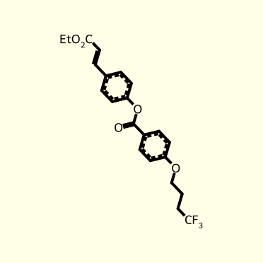 CCOC(=O)/C=C/c1ccc(OC(=O)c2ccc(OCCCC(F)(F)F)cc2)cc1